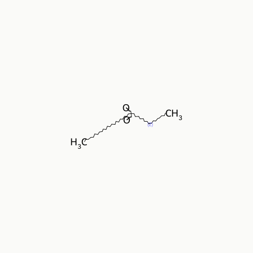 CCCCCCCC/C=C\CCCCCCCC(C=C=O)(C=C=O)CCCCCCCCCCCCCCCCCCCCCC